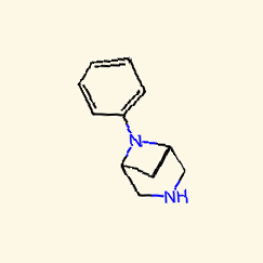 c1ccc(N2C3CNCC2C3)cc1